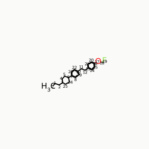 CCCC1CCC(c2ccc(CCc3ccc(OCF)cc3)cc2)CC1